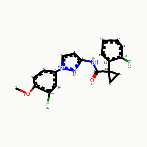 COc1ccc(-n2ccc(NC(=O)C3(c4ccccc4F)CC3)n2)cc1F